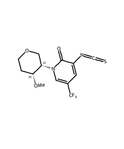 CO[C@@H]1CCOC[C@@H]1n1cc(C(F)(F)F)cc(N=C=S)c1=O